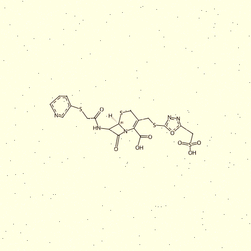 O=C(CSc1cccnc1)NC1C(=O)N2C(C(=O)O)=C(CSc3nnc(CS(=O)(=O)O)o3)CS[C@H]12